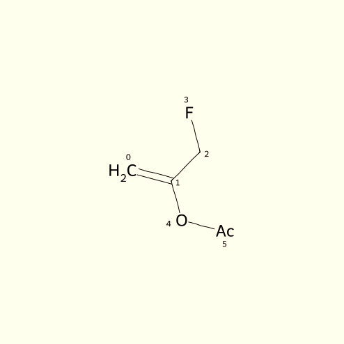 C=C(CF)OC(C)=O